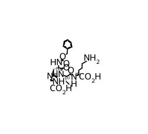 NCCCC[C@H](NC(=O)[C@H](CCC(=O)O)NC(=O)[C@H](Cc1c[nH]cn1)NC(=O)OCc1ccccc1)C(=O)O